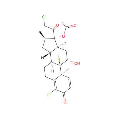 CC(=O)O[C@@]1(C(=O)CCl)[C@H](C)C[C@H]2[C@@H]3CCC4=C(F)C(=O)C=C[C@]4(C)[C@@]3(F)[C@@H](O)C[C@@]21C